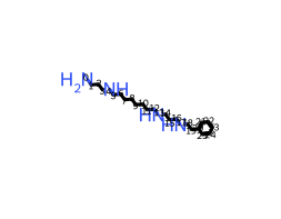 NCCCNCCCCCCCCNCCCNCCc1ccccc1